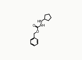 O=C(NNC1CCCC1)OCc1ccccc1